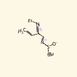 C=CC(/C=N/[S+]([O-])C(C)(C)C)=N\CC